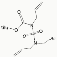 C=CCN(CC(C)=O)S(=O)(=O)N(CC=C)C(=O)OC(C)(C)C